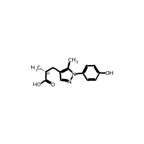 Cc1c(C[C@@H](C)C(=O)O)cnn1-c1ccc(O)cc1